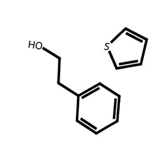 OCCc1ccccc1.c1ccsc1